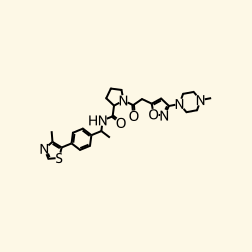 Cc1ncsc1-c1ccc(C(C)NC(=O)C2CCCN2C(=O)Cc2cc(N3CCN(C)CC3)no2)cc1